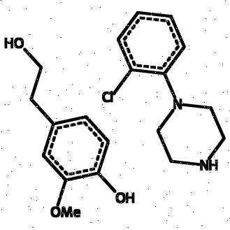 COc1cc(CCO)ccc1O.Clc1ccccc1N1CCNCC1